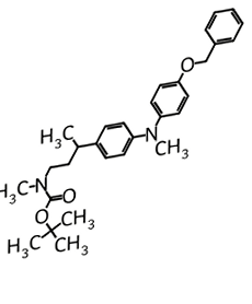 CC(CCN(C)C(=O)OC(C)(C)C)c1ccc(N(C)c2ccc(OCc3ccccc3)cc2)cc1